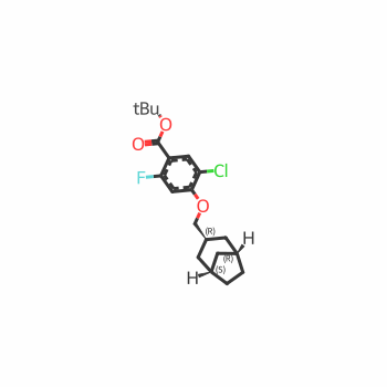 CC(C)(C)OC(=O)c1cc(Cl)c(OC[C@H]2C[C@@H]3CC[C@@H](C3)C2)cc1F